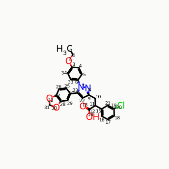 CCOc1ccc(-n2nc(CC(C(=O)O)c3cccc(Cl)c3)cc2-c2ccc3c(c2)OCO3)cc1